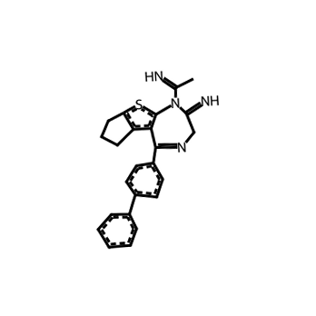 CC(=N)N1C(=N)CN=C(c2ccc(-c3ccccc3)cc2)c2c1sc1c2CCC1